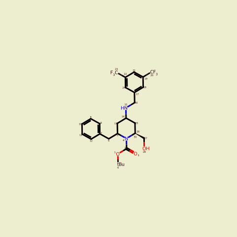 CC(C)(C)OC(=O)N1C(Cc2ccccc2)CC(NCc2cc(C(F)(F)F)cc(C(F)(F)F)c2)C[C@H]1CO